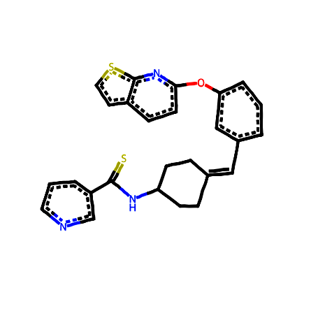 S=C(NC1CCC(=Cc2cccc(Oc3ccc4ccsc4n3)c2)CC1)c1cccnc1